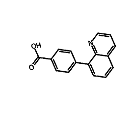 O=C(O)c1ccc(-c2cccc3cccnc23)cc1